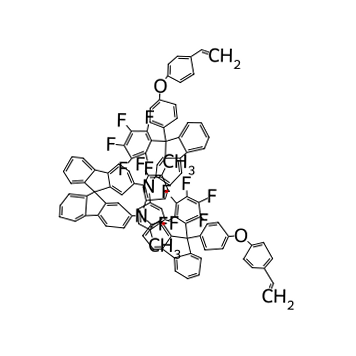 C=Cc1ccc(Oc2ccc(C3(c4c(F)c(F)c(F)c(F)c4F)c4ccccc4-c4ccc(N(c5ccc(C)c(F)c5)c5ccc6c(c5)C5(c7ccccc7-6)c6ccccc6-c6ccc(N(c7ccc(C)c(F)c7)c7ccc8c(c7)C(c7ccc(Oc9ccc(C=C)cc9)cc7)(c7c(F)c(F)c(F)c(F)c7F)c7ccccc7-8)cc65)cc43)cc2)cc1